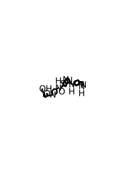 O=C(NC1CCN(Cc2ccc(CO)o2)CC1)c1cc2c(Nc3ccc4cn[nH]c4c3)ncnc2s1